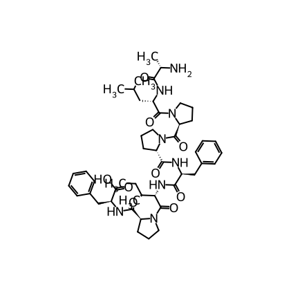 CC[C@H](C)[C@H](NC(=O)[C@H](Cc1ccccc1)NC(=O)[C@@H]1CCCN1C(=O)[C@@H]1CCCN1C(=O)[C@H](CC(C)C)NC(=O)[C@H](C)N)C(=O)N1CCC[C@H]1C(=O)N[C@@H](Cc1ccccc1)C(=O)O